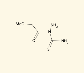 COCC(=O)N(N)C(N)=S